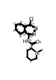 CN1CCCC[C@H]1C(=O)Nc1nnc(Cl)c2ccccc12